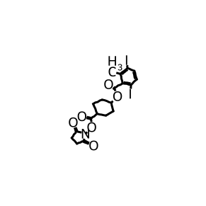 Cc1c(I)ccc(I)c1C(=O)OC1CCC(C(=O)ON2C(=O)CCC2=O)CC1